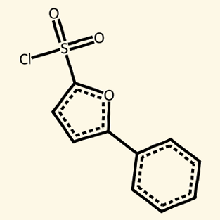 O=S(=O)(Cl)c1ccc(-c2ccccc2)o1